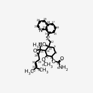 COC1C(OC(N)=O)CCC(O)(CSc2cccc3cccnc23)C1C1(C)OC1CC=C(C)C